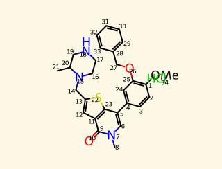 COc1ccc(-c2cn(C)c(=O)c3cc(CN4CCNCC4C)sc23)cc1OCc1ccccc1.Cl